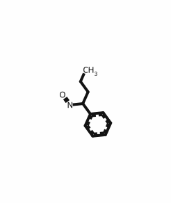 CCCC(N=O)c1ccccc1